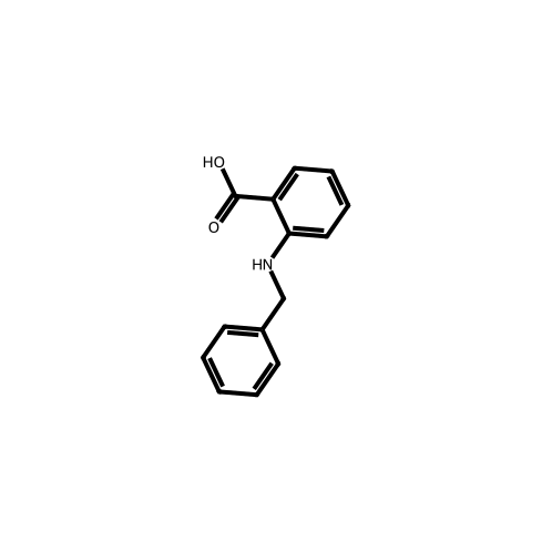 O=C(O)c1ccccc1NCc1ccccc1